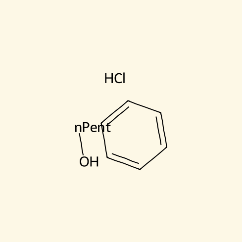 CCCCCO.Cl.c1ccccc1